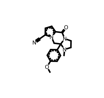 COc1ccc(C23Cn4c(C#N)ccc4C(=O)N2CCN3C)cc1